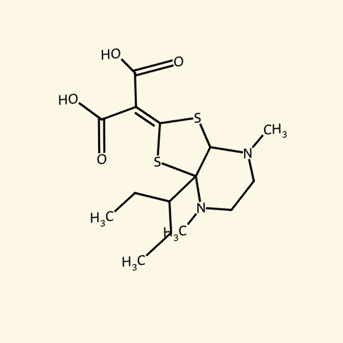 CCC(CC)C12SC(=C(C(=O)O)C(=O)O)SC1N(C)CCN2C